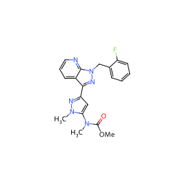 COC(=O)N(C)c1cc(-c2nn(Cc3ccccc3F)c3ncccc23)nn1C